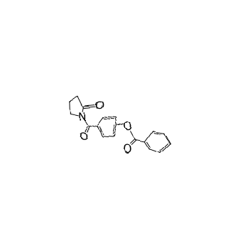 O=C(Oc1ccc(C(=O)N2CCCC2=O)cc1)c1ccccc1